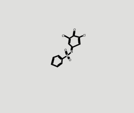 O=C1C(Cl)=CC(=NS(=O)(=O)c2ccccc2)C=C1Cl